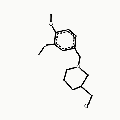 COc1ccc(CN2CCCC(CCl)C2)cc1OC